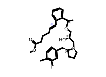 COC(=O)CCC/C=C/c1ccccc1[C@@H](C)OC[C@H](O)CN1CCC[C@H]1Cc1ccc(C)c(F)c1